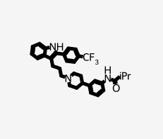 CC(C)C(=O)Nc1cccc(C2CCN(CCCc3c(-c4ccc(C(F)(F)F)cc4)[nH]c4ccccc34)CC2)c1